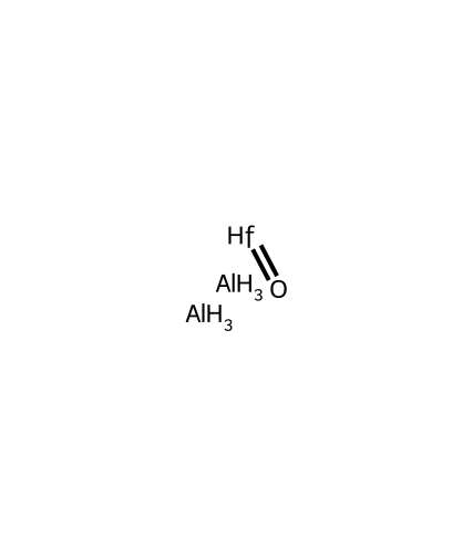 [AlH3].[AlH3].[O]=[Hf]